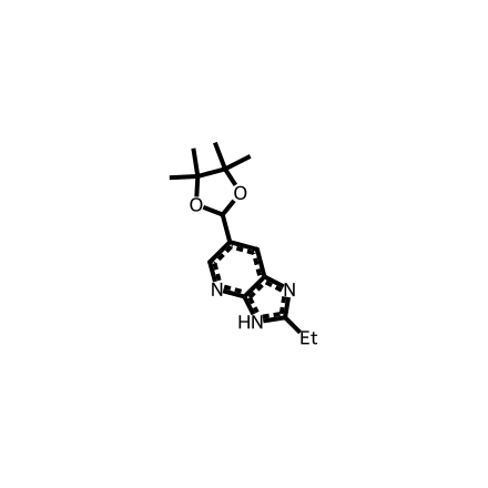 CCc1nc2cc(C3OC(C)(C)C(C)(C)O3)cnc2[nH]1